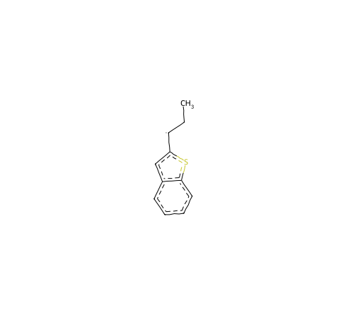 CC[CH]c1cc2ccccc2s1